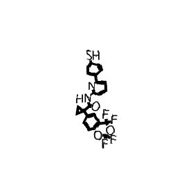 O=C(Nc1cccc(-c2ccc(S)cc2)n1)C1(c2ccc3c(c2)C(F)(F)OC(F)(F)O3)CC1